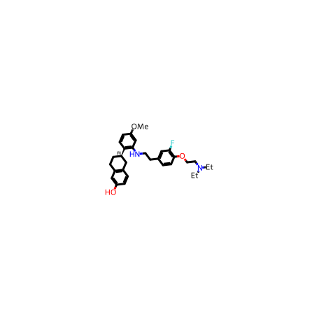 CCN(CC)CCOc1ccc(CCNc2cc(OC)ccc2[C@@H]2CCc3cc(O)ccc3C2)cc1F